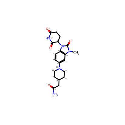 Cn1c(=O)n(C2CCC(=O)NC2=O)c2ccc(N3CCC(CC(N)=O)CC3)cc21